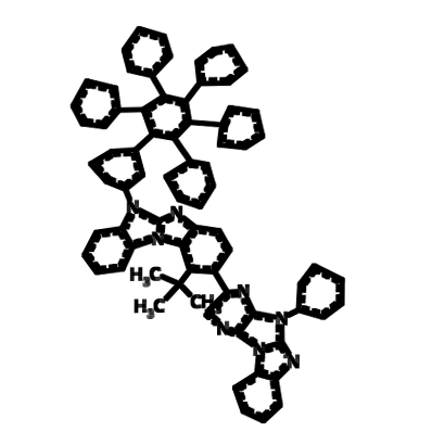 CC(C)(C)c1c(-c2cnc3c(n2)n(-c2ccccc2)c2nc4ccccc4n32)ccc2nc3n(-c4cccc(-c5c(-c6ccccc6)c(-c6ccccc6)c(-c6ccccc6)c(-c6ccccc6)c5-c5ccccc5)c4)c4ccccc4n3c12